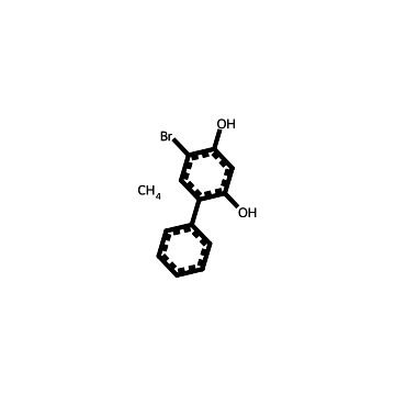 C.Oc1cc(O)c(-c2ccccc2)cc1Br